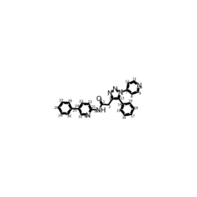 O=C(Cc1nnn(-c2ccncc2)c1-c1ccccc1)Nc1ccc(-c2ccccc2)cn1